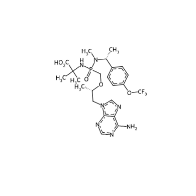 C[C@H](c1ccc(OC(F)(F)F)cc1)N(C)P(=O)(CO[C@@H](C)Cn1cnc2c(N)ncnc21)NC(C)(C)C(=O)O